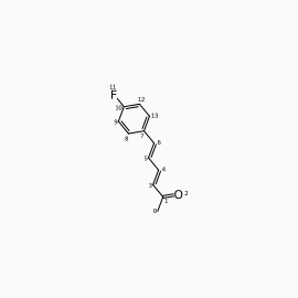 CC(=O)/C=C/C=C/c1ccc(F)cc1